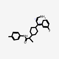 Cc1ccc(NC(=O)C(C)C2CCC(C(/C=C\N)=C3\C=C(F)C=CC3)CC2)cc1